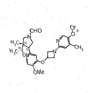 COc1ccc([C@@H]2CN(C=O)C[C@@]2(C)[C@@H](C)O)cc1OC1CN(c2cc(C)c(OC(F)(F)F)cn2)C1